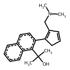 CN(C)CC1=C(c2ccc3ccccc3c2C(C)(C)O)CC=C1